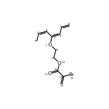 C=C/C=C(\C=C/C)OCCOC(=O)C(=C)Br